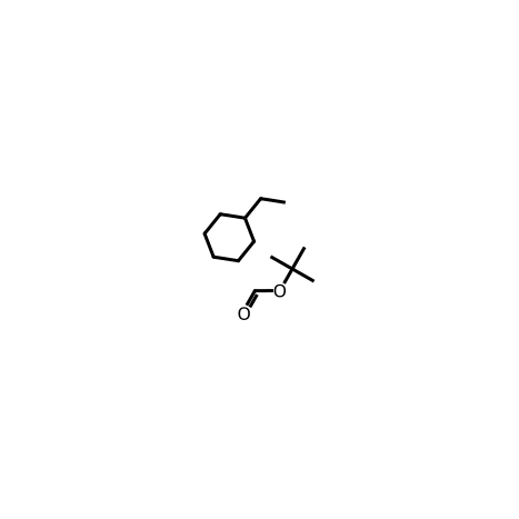 CC(C)(C)OC=O.CCC1CCCCC1